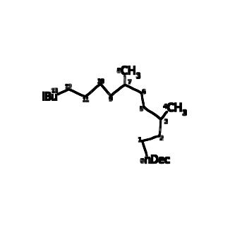 CCCCCCCCCCCCC(C)CCC(C)CCCCC(C)CC